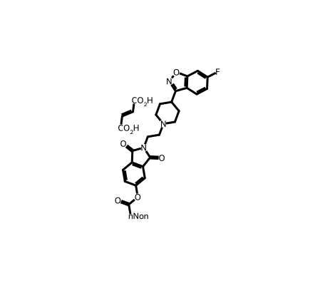 CCCCCCCCCC(=O)Oc1ccc2c(c1)C(=O)N(CCN1CCC(c3noc4cc(F)ccc34)CC1)C2=O.O=C(O)C=CC(=O)O